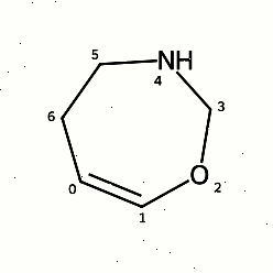 C1=COCNCC1